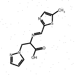 Cc1cnc(C=NC(Cn2cccn2)C(=O)O)s1